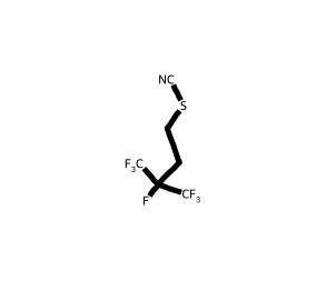 N#CSCCC(F)(C(F)(F)F)C(F)(F)F